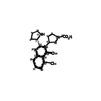 O=C(O)N1CCC(n2c([C@@H]3CCCN3)nc3cccc(Cl)c3c2=O)C1